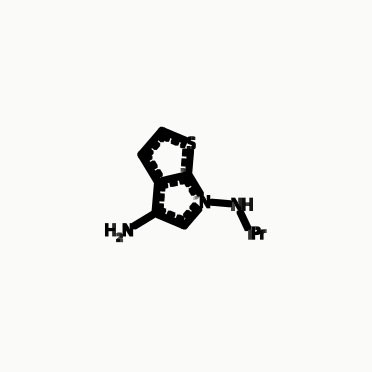 CC(C)Nn1cc(N)c2ccsc21